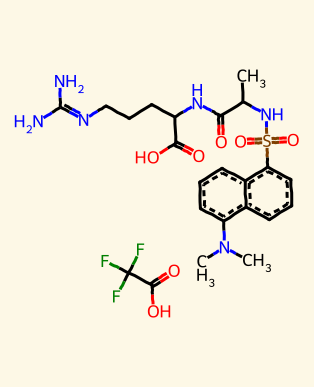 CC(NS(=O)(=O)c1cccc2c(N(C)C)cccc12)C(=O)NC(CCCN=C(N)N)C(=O)O.O=C(O)C(F)(F)F